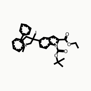 CCOC(=O)c1cc2cc(C(I)(Cc3ccccc3)CN(C)Cc3ccccc3)ccc2n1C(=O)OC(C)(C)C